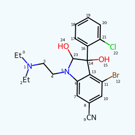 CCN(CC)CCN1c2cc(C#N)cc(Br)c2C(O)(c2ccccc2Cl)C1O